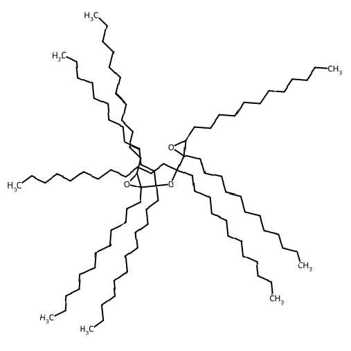 CCCCCCCCCCCCC1OC1(CCCCCCCCCCCC)C(CCCCCCCCCCCC)(CCCCCCCCCCCC)OC(CCCCCCCCCCCC)(CCCCCCCCCCCC)C1(CCCCCCCCCCCC)OC1CCCCCCCCCCCC